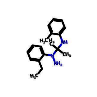 CCc1ccccc1N(N)C(C)(C)Nc1ccccc1C